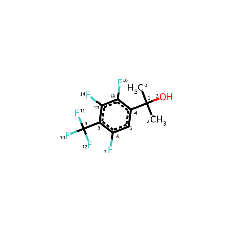 CC(C)(O)c1cc(F)c(C(F)(F)F)c(F)c1F